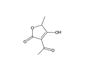 CC(=O)C1=C(O)C(C)OC1=O